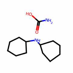 C1CCC(NC2CCCCC2)CC1.NC(=O)O